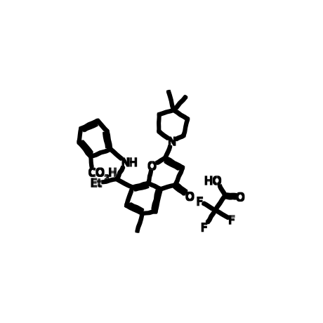 CCC(Nc1ccccc1C(=O)O)c1cc(C)cc2c(=O)cc(N3CCC(C)(C)CC3)oc12.O=C(O)C(F)(F)F